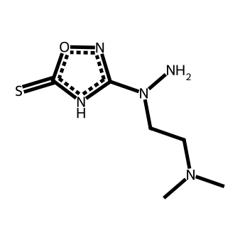 CN(C)CCN(N)c1noc(=S)[nH]1